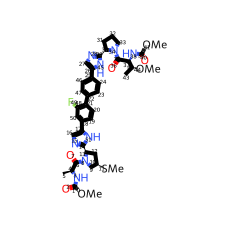 COC(=O)N[C@@H](C)C(=O)N1C[C@@H](SC)C[C@H]1c1ncc(-c2ccc(-c3ccc(-c4cnc([C@@H]5CCCN5C(=O)[C@@H](NC(=O)OC)[C@@H](C)OC)[nH]4)cc3)c(F)c2)[nH]1